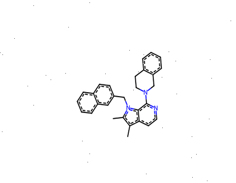 Cc1c(C)n(Cc2ccc3ccccc3c2)c2c(N3CCc4ccccc4C3)nccc12